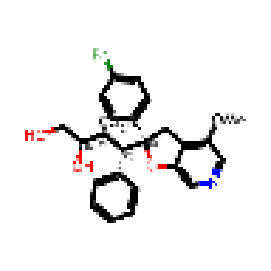 COc1cncc2c1C[C@](c1ccc(Br)cc1)([C@H](c1ccccc1)[C@@H](C(=O)O)[C@@H](O)CO)O2